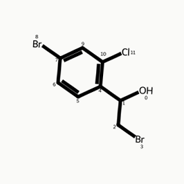 OC(CBr)c1ccc(Br)cc1Cl